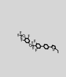 CCc1ccc(-c2ccc(-c3cc(F)c(C(F)(F)Oc4cc(F)c(OC(F)(F)F)c(F)c4)c(F)c3)cc2)s1